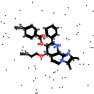 COCCO[C@@H]1c2ccn3c(C)c(C)nc3c2N[C@H](c2ccccc2)[C@H]1OC(=O)c1ccc(OC)cc1